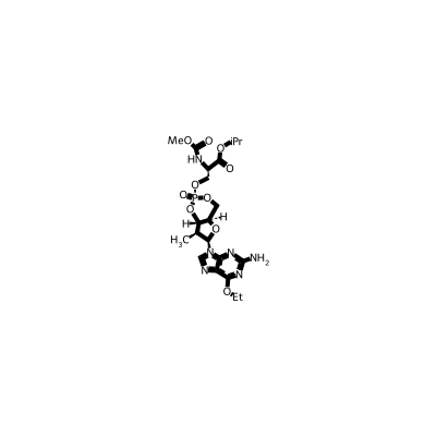 CCOc1nc(N)nc2c1ncn2[C@@H]1O[C@@H]2CO[P@@](=O)(OC[C@H](NC(=O)OC)C(=O)OC(C)C)O[C@H]2[C@@H]1C